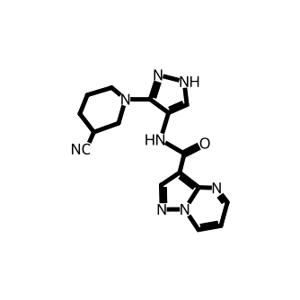 N#CC1CCCN(c2n[nH]cc2NC(=O)c2cnn3cccnc23)C1